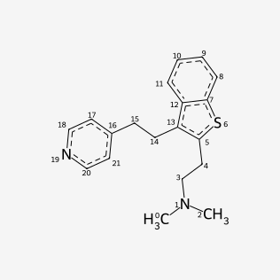 CN(C)CCc1sc2ccccc2c1CCc1ccncc1